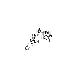 N/C(=N\C(=O)Cc1ccccc1)NCCNc1nonc1/C(=N/O)Nc1ccc(F)c(Br)c1